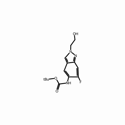 CC(C)(C)OC(=O)Nc1cc2cn(CCO)nc2cc1F